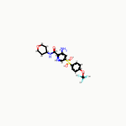 Nc1cc(S(=O)(=O)c2ccc(OC(F)(F)F)cc2)cnc1C(=O)NC1CCOCC1